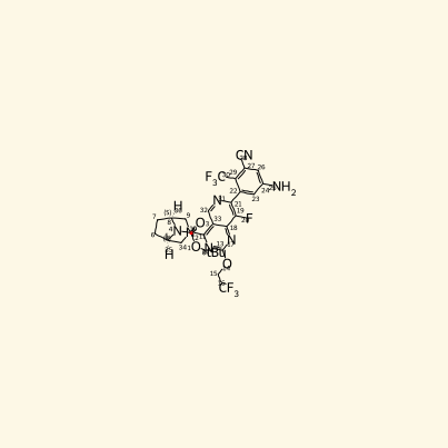 CC(C)(C)OC(=O)N1[C@@H]2CC[C@H]1CN(c1nc(OCC(F)(F)F)nc3c(F)c(-c4cc(N)cc(C#N)c4C(F)(F)F)ncc13)C2